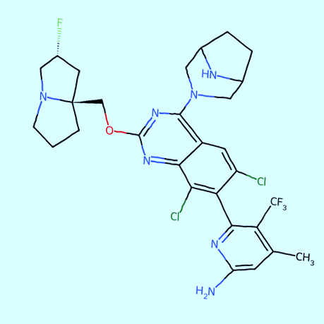 Cc1cc(N)nc(-c2c(Cl)cc3c(N4CC5CCC(C4)N5)nc(OC[C@@]45CCCN4C[C@H](F)C5)nc3c2Cl)c1C(F)(F)F